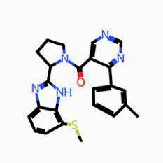 CSc1cccc2nc(C3CCCN3C(=O)c3cncnc3-c3cccc(C)c3)[nH]c12